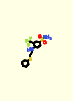 NS(=O)(=O)c1ccc(NCCSc2ccccc2)c(C(F)(F)F)c1